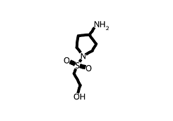 NC1CCN(S(=O)(=O)CCO)CC1